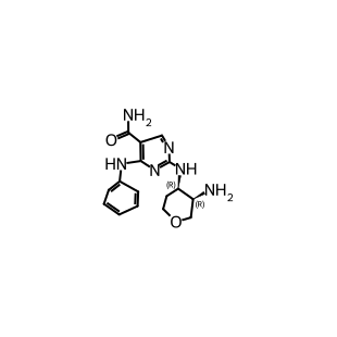 NC(=O)c1cnc(N[C@@H]2CCOC[C@@H]2N)nc1Nc1ccccc1